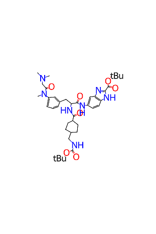 CN(C)CC(=O)N(C)c1cccc(CC(NC(=O)C2CCC(CNC(=O)OC(C)(C)C)CC2)C(=O)Nc2ccc3[nH]c(C(=O)OC(C)(C)C)nc3c2)c1